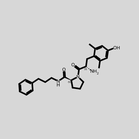 Cc1cc(O)cc(C)c1C[C@H](N)C(=O)N1CCC[C@H]1C(=O)NCCCc1ccccc1